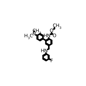 CCOC(=O)Nc1ccc(CNc2cccc(F)c2)cc1-c1ccc(N(C)C)cc1